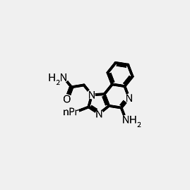 CCCc1nc2c(N)nc3ccccc3c2n1CC(N)=O